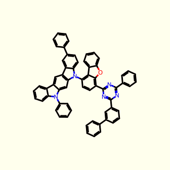 c1ccc(-c2cccc(-c3nc(-c4ccccc4)nc(-c4ccc(-n5c6ccc(-c7ccccc7)cc6c6cc7c8ccccc8n(-c8ccccc8)c7cc65)c5c4oc4ccccc45)n3)c2)cc1